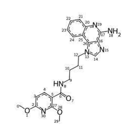 COc1ccc(C(=O)NCCCCn2cnc3c(N)nc4ccccc4c32)c(OC)n1